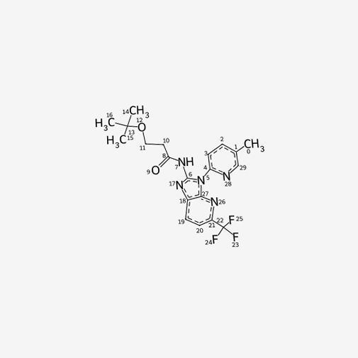 Cc1ccc(-n2c(NC(=O)CCOC(C)(C)C)nc3ccc(C(F)(F)F)nc32)nc1